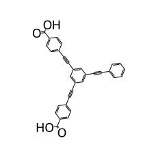 O=C(O)c1ccc(C#Cc2cc(C#Cc3ccccc3)cc(C#Cc3ccc(C(=O)O)cc3)c2)cc1